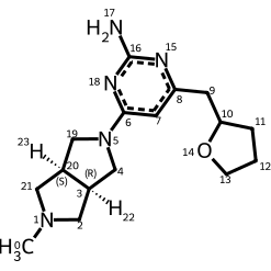 CN1C[C@@H]2CN(c3cc(CC4CCCO4)nc(N)n3)C[C@@H]2C1